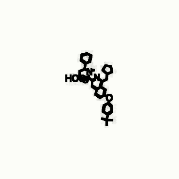 CN(C(=O)c1cc2ccc(Oc3ccc(C(C)(C)C)cc3)cc2c(CC2CCCC2)n1)C(CC(=O)O)c1ccccc1